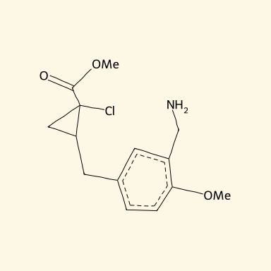 COC(=O)C1(Cl)CC1Cc1ccc(OC)c(CN)c1